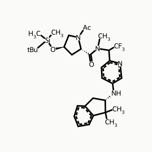 CC(=O)N1C[C@H](O[Si](C)(C)C(C)(C)C)C[C@H]1C(=O)N(C)C(c1ccc(N[C@H]2Cc3ccccc3C2(C)C)cn1)C(F)(F)F